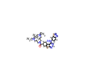 CN(C)CCCN(CCCN(C)C)C(=O)[C@H]1CCc2c(sc3ncnc(Nc4ccc5nnsc5c4)c23)C1